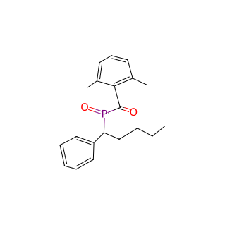 CCCCC(c1ccccc1)[P](=O)C(=O)c1c(C)cccc1C